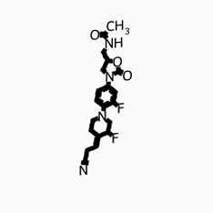 CC(=O)NCC1CN(c2ccc(N3CCC(=CCC#N)C(F)C3)c(F)c2)C(=O)O1